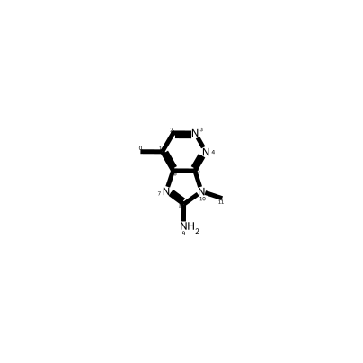 Cc1cnnc2c1nc(N)n2C